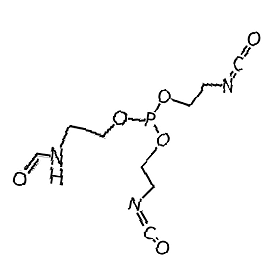 O=C=NCCOP(OCCN=C=O)OCCNC=O